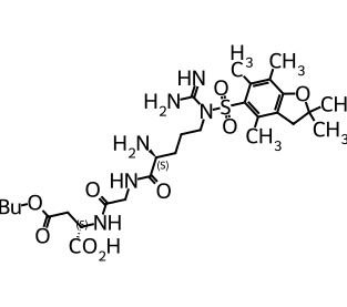 Cc1c(C)c(S(=O)(=O)N(CCC[C@H](N)C(=O)NCC(=O)N[C@@H](CC(=O)OC(C)(C)C)C(=O)O)C(=N)N)c(C)c2c1OC(C)(C)C2